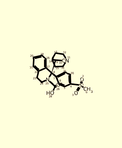 CS(=O)(=O)c1ccc([C@@]2(C3CN4CCC3CC4)c3ccccc3CCN2C(=O)O)cc1